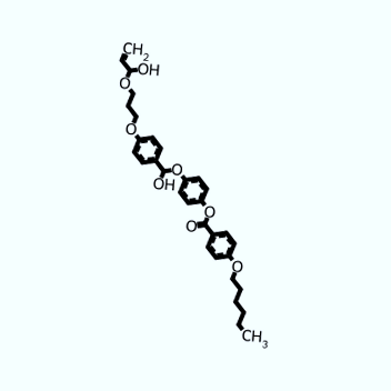 C=CC(O)OCCCOc1ccc(C(O)Oc2ccc(OC(=O)c3ccc(OCCCCCC)cc3)cc2)cc1